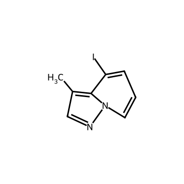 Cc1cnn2cccc(I)c12